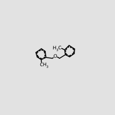 Cc1ccccc1COCc1ccccc1C